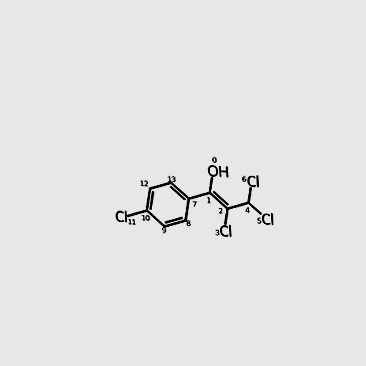 OC(=C(Cl)C(Cl)Cl)c1ccc(Cl)cc1